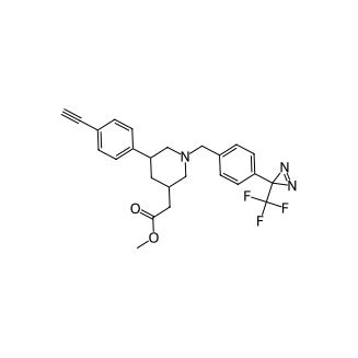 C#Cc1ccc(C2CC(CC(=O)OC)CN(Cc3ccc(C4(C(F)(F)F)N=N4)cc3)C2)cc1